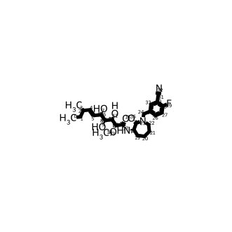 CCC(C)C=C[C@@H](O)[C@H](O)[C@@H](O)[C@@H](OC)C(=O)N[C@H]1CCCCN(Cc2ccc(F)c(C#N)c2)C1=O